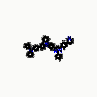 c1ccc(-c2nc(-c3ccc(-c4cccnc4)cc3)cc(-c3ccc(-n4c5ccccc5c5cc(-c6ccc(N(c7ccccc7)c7ccccc7)cc6)ccc54)cc3)n2)cc1